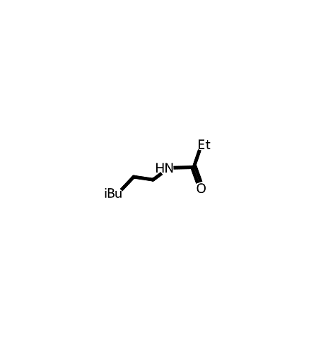 [CH2]CC(=O)NCCC(C)CC